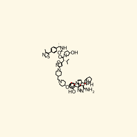 Cc1ncsc1-c1ccc([C@H](C)NC(=O)[C@@H]2C[C@@H](O)CN2C(=O)[C@@H](c2cc(N3CCC(CN4CCC(OC5CC(n6ccc(CN7C8CC[C@@H]7CN(c7cc(-c9ccccc9O)nnc7N)C8)n6)C5)CC4)CC3)no2)C(C)C)cc1